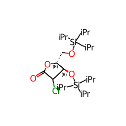 CC(C)[Si](OC[C@H]1OC(=O)C(Cl)[C@@H]1O[Si](C(C)C)(C(C)C)C(C)C)(C(C)C)C(C)C